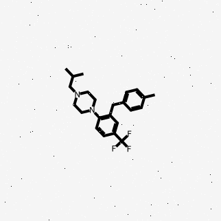 C[C](C)CN1CCN(c2ccc(C(F)(F)F)cc2Cc2ccc(C)cc2)CC1